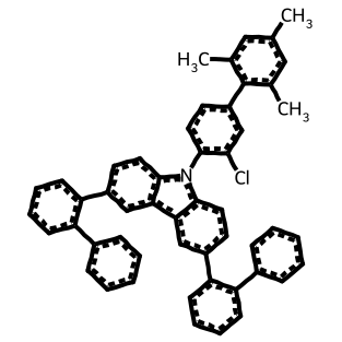 Cc1cc(C)c(-c2ccc(-n3c4ccc(-c5ccccc5-c5ccccc5)cc4c4cc(-c5ccccc5-c5ccccc5)ccc43)c(Cl)c2)c(C)c1